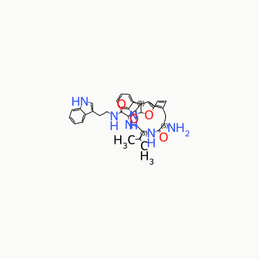 CC(C)[C@@H]1NC(=O)[C@@H](N)Cc2ccc3c(c2)[C@@]2(c4ccccc4NC2O3)c2oc1nc2C(=O)NCCc1c[nH]c2ccccc12